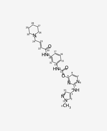 Cn1cc(Nc2nccc(OC(=O)Nc3cccc(NC(=O)/C=C/CN4CCCCC4)c3)n2)cn1